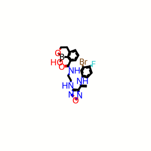 C=C(Nc1ccc(F)c(Br)c1)c1nonc1NCCNC(=O)c1cccc2c1B(O)OCC2